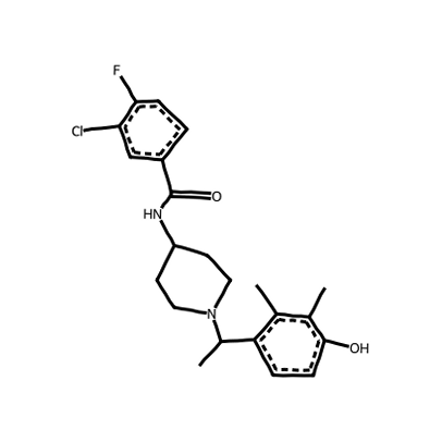 Cc1c(O)ccc(C(C)N2CCC(NC(=O)c3ccc(F)c(Cl)c3)CC2)c1C